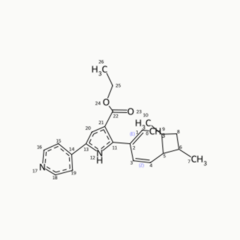 C/C=C(\C=C/C1C(C)CC1C)c1[nH]c(-c2ccncc2)cc1C(=O)OCC